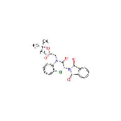 CC(C)(C)OC(=O)CN(C(=O)CN1C(=O)c2ccccc2C1=O)c1ccccc1Cl